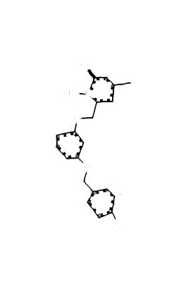 Cc1cc(COc2cccc(OCc3ccc(Cl)cc3)c2)n(O)c(=O)c1